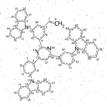 C=Cc1cc(-c2nc(-c3cccc(-n4c5ccccc5c5ccccc54)c3)cc(-c3cccc(-n4c5ccccc5c5ccccc54)c3)n2)cc(-n2c3ccccc3c3ccccc32)c1